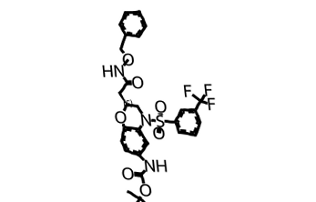 CC(C)(C)OC(=O)Nc1ccc2c(c1)N(S(=O)(=O)c1cccc(C(F)(F)F)c1)C[C@H](CC(=O)NOCc1ccccc1)O2